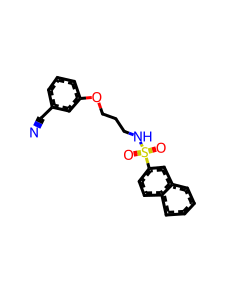 N#Cc1cccc(OCCCNS(=O)(=O)c2ccc3ccccc3c2)c1